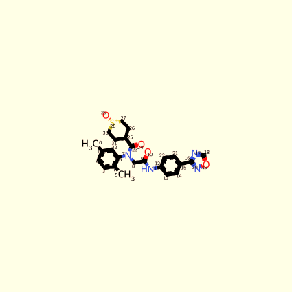 Cc1ccc(C)c(N(CC(=O)Nc2ccc(-c3ncon3)cc2)C(=O)C2CC[S+]([O-])CC2)c1